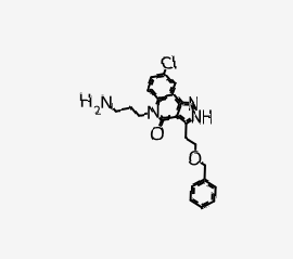 NCCCn1c(=O)c2c(CCOCc3ccccc3)[nH]nc2c2cc(Cl)ccc21